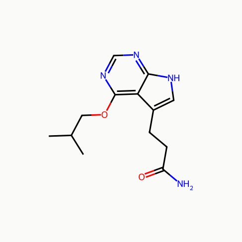 CC(C)COc1ncnc2[nH]cc(CCC(N)=O)c12